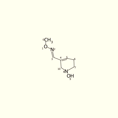 CON=CC1=CCCN(O)C1